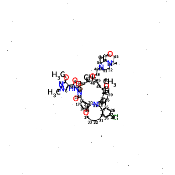 COc1nn(C)cc1C(=O)N[S@@]1(=O)=NC(=O)c2ccc3c(c2)N(Cc2ccc(Cl)cc2CCCCO3)C[C@@H]2CC[C@H]2[C@@H](OC)/C=C/[C@H](OCCN2CCN3CCOC[C@@H]3C2)[C@H](C)C1